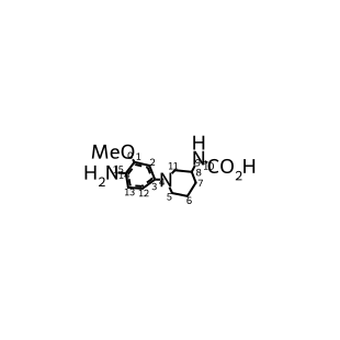 COc1cc(N2CCCC(NC(=O)O)C2)ccc1N